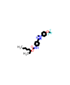 CCCCCC(CC)OC(=O)Nc1ccc(-c2ncn(-c3ccc(OC(F)(F)F)cc3)n2)cc1